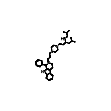 CC(C)CNC(CCN1CCN(CCCN2CCc3c([nH]c4ccccc34)C2c2ccccc2)CC1)CC(C)C